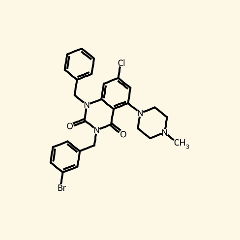 CN1CCN(c2cc(Cl)cc3c2c(=O)n(Cc2cccc(Br)c2)c(=O)n3Cc2ccccc2)CC1